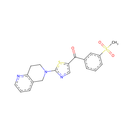 CS(=O)(=O)c1cccc(C(=O)c2cnc(N3CCc4ncccc4C3)s2)c1